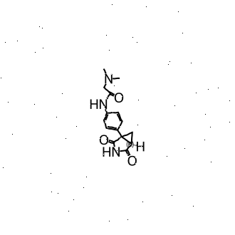 CN(C)CC(=O)Nc1ccc(C23C[C@H]2C(=O)NC3=O)cc1